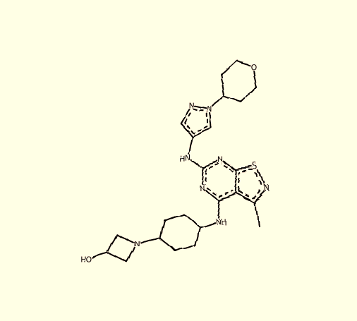 Cc1nsc2nc(Nc3cnn(C4CCOCC4)c3)nc(NC3CCC(N4CC(O)C4)CC3)c12